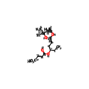 CC[Si](C)(O[SiH](CCC(CC(F)(F)F)OC(=O)/C=C/C(=O)O)O[SiH3])C(C)(C)C